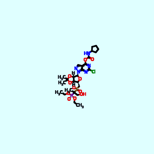 CCOP(=O)(OCC)C(C)(CO)S(=O)(=O)C[C@H]1O[C@@H](n2ncc3c(OC(=O)NC4CCCC4)nc(Cl)nc32)[C@@H]2OC(C)(C)O[C@@H]21